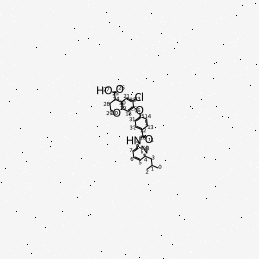 CC(C)Cc1cccc(NC(=O)c2ccc(Oc3cc4c(cc3Cl)C(C(=O)O)CCO4)cc2)n1